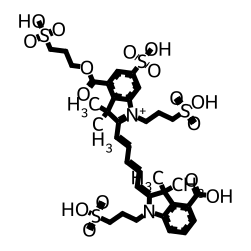 CC1(C)C(/C=C/C=C/C=C2/N(CCCS(=O)(=O)O)c3cccc(C(=O)O)c3C2(C)C)=[N+](CCCS(=O)(=O)O)c2cc(S(=O)(=O)O)cc(C(=O)OCCCS(=O)(=O)O)c21